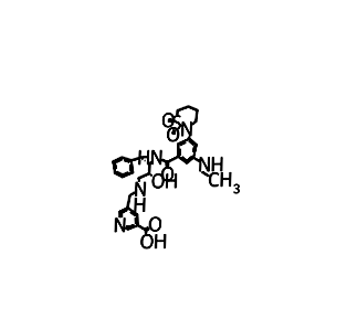 CCNc1cc(C(=O)N[C@@H](Cc2ccccc2)[C@H](O)CNCc2cncc(C(=O)O)c2)cc(N2CCCCS2(=O)=O)c1